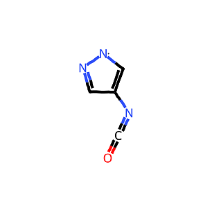 O=C=NC1=C[N]N=C1